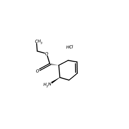 CCOC(=O)[C@@H]1CC=CC[C@H]1N.Cl